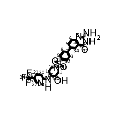 Nc1nc2ccc(-c3ccc(S(=O)(=O)N4CC[C@@H](Nc5ccc(C(F)(F)F)cn5)[C@@H](O)C4)cc3)cc2c(=O)[nH]1